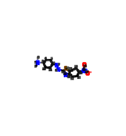 CN(C)c1ccc(N=Nc2nc3ccc([N+](=O)[O-])cc3s2)cc1